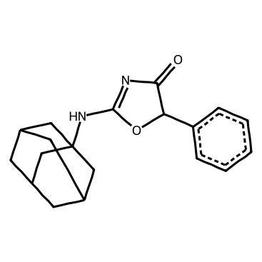 O=C1N=C(NC23CC4CC(CC(C4)C2)C3)OC1c1ccccc1